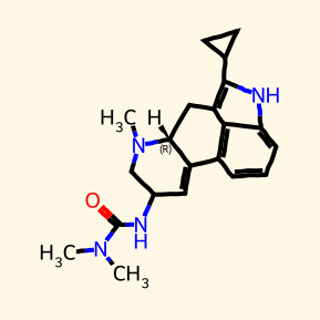 CN(C)C(=O)NC1C=C2c3cccc4[nH]c(C5CC5)c(c34)C[C@H]2N(C)C1